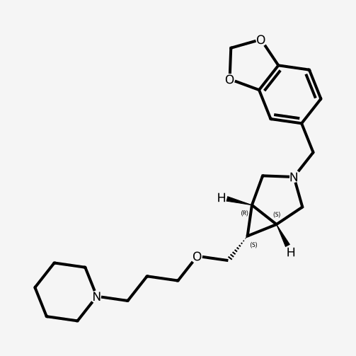 c1cc2c(cc1CN1C[C@@H]3[C@H](COCCCN4CCCCC4)[C@@H]3C1)OCO2